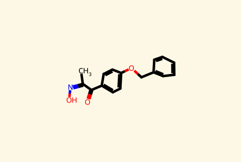 C/C(=N/O)C(=O)c1ccc(OCc2ccccc2)cc1